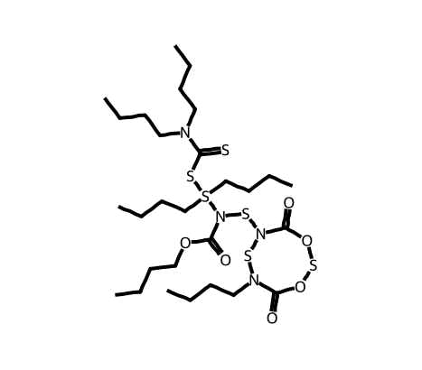 CCCCOC(=O)N(SN1SN(CCCC)C(=O)OSOC1=O)S(CCCC)(CCCC)SC(=S)N(CCCC)CCCC